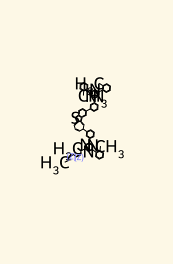 C=C(/C=C\C=C/CC)c1nc(-c2cccc(C3C=CC=c4sc5ccc(-c6cccc(-c7nc(-c8ccccc8C)nc(-c8ccccc8C)n7)c6)cc5c4=C3)c2)nc(-c2ccccc2C)n1